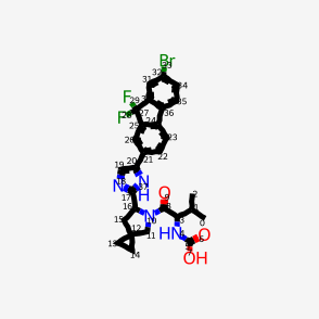 CC(C)C(NC(=O)O)C(=O)N1CC2(CC2)CC1c1ncc(-c2ccc3c(c2)C(F)(F)c2cc(Br)ccc2-3)[nH]1